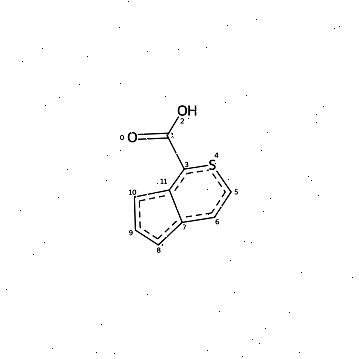 O=C(O)c1sccc2[c]ccc1-2